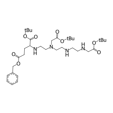 CC(C)(C)OC(=O)CNCCNCCN(CCNC(CCC(=O)OCc1ccccc1)C(=O)OC(C)(C)C)CC(=O)OC(C)(C)C